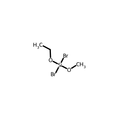 CCO[Si](Br)(Br)OC